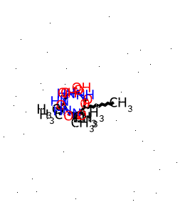 CCCCCCCCCC[C@H]1OC(=O)CNC(=O)[C@H](CO)NC(=O)[C@H](CO)NC(=O)[C@H](C(CC)CC)NC(=O)[C@H](CC(C)C)N(C)C(=O)[C@@H]1C